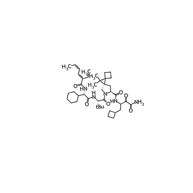 C=C/C(=C\C=C/C)C(=O)N[C@H](C(=O)N[C@H](C(=O)N1C[C@]2(C[C@H]1C(=O)NC(CC1CCC1)C(=O)C(N)=O)C(C)(C)C21CCC1)C(C)(C)C)C1CCCCC1